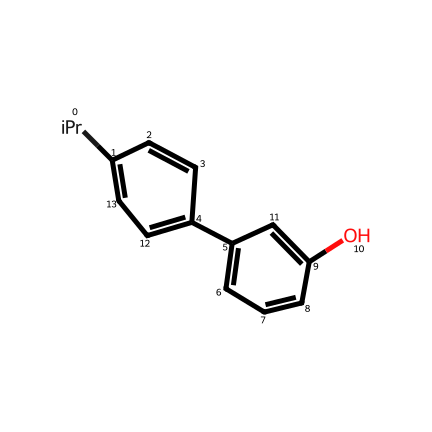 CC(C)c1ccc(-c2cccc(O)c2)cc1